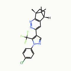 CC1(C)[C@@H]2CC[C@@]1(C)c1nnc(-c3cnn(-c4ccc(Cl)cc4)c3C(F)(F)F)cc12